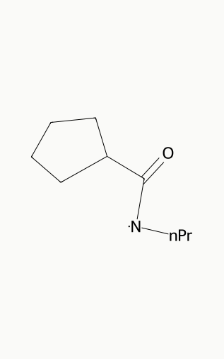 CCC[N]C(=O)C1CCCC1